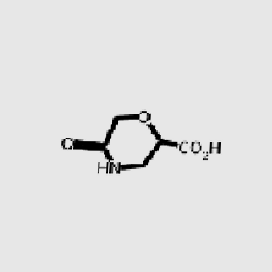 O=C1COC(C(=O)O)CN1